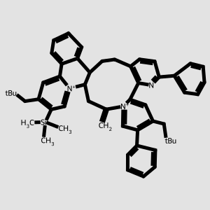 C=C1CC2C(CCc3ccc(-c4ccccc4)nc3-c3cc(CC(C)(C)C)c(-c4ccccc4)c[n+]31)c1ccccc1-c1cc(CC(C)(C)C)c([Si](C)(C)C)c[n+]12